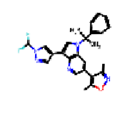 BC(B)(c1ccccc1)n1cc(-c2cnn(C(F)F)c2)c2ncc(-c3c(C)noc3C)cc21